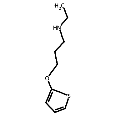 [CH2]CNCCCOc1cccs1